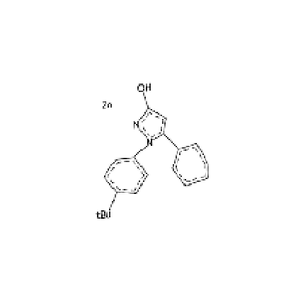 CC(C)(C)c1ccc(-n2nc(O)cc2-c2ccccc2)cc1.[Zn]